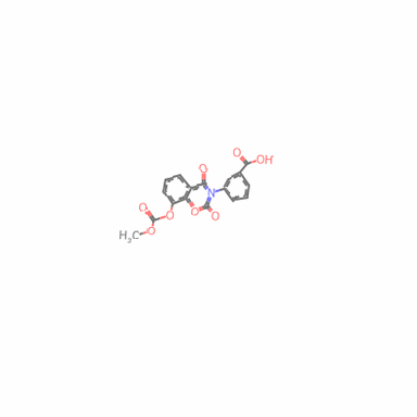 COC(=O)Oc1cccc2c(=O)n(-c3cccc(C(=O)O)c3)c(=O)oc12